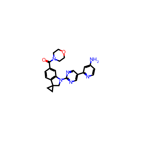 Nc1ccnc(-c2cnc(N3CC4(CC4)c4ccc(C(=O)N5CCOCC5)cc43)nc2)c1